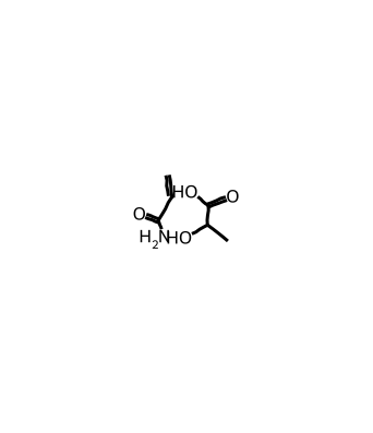 C=CC(N)=O.CC(O)C(=O)O